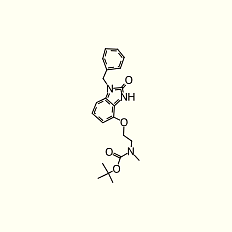 CN(CCOc1cccc2c1[nH]c(=O)n2Cc1ccccc1)C(=O)OC(C)(C)C